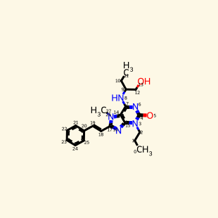 CCCn1c(=O)nc(NC(CC)CO)c2c1nc(C=Cc1ccccc1)n2C